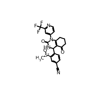 C[S+]([O-])c1cc(C#N)ccc1C1NC(=O)N(c2ccnc(C(F)(F)F)c2)C2=C1C(=O)CCC2